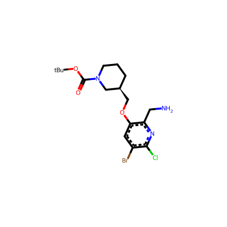 CC(C)(C)OC(=O)N1CCC[C@@H](COc2cc(Br)c(Cl)nc2CN)C1